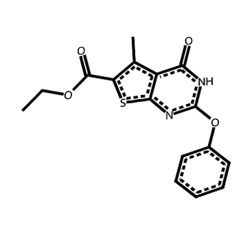 CCOC(=O)c1sc2nc(Oc3ccccc3)[nH]c(=O)c2c1C